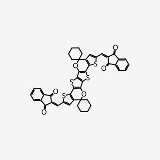 O=C1C(=Cc2cc3c(s2)-c2sc4c5c(sc4c2OC32CCCCC2)-c2sc(C=C3C(=O)c4ccccc4C3=O)cc2C2(CCCCC2)O5)C(=O)c2ccccc21